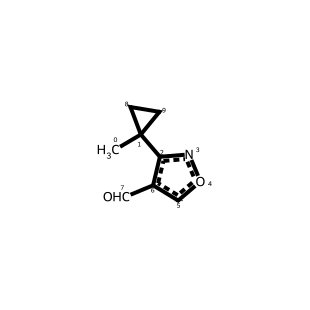 CC1(c2no[c]c2C=O)CC1